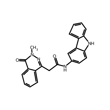 Cn1nc(CC(=O)Nc2ccc3[nH]c4ccccc4c3c2)c2ccccc2c1=O